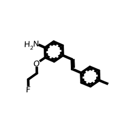 Cc1ccc(/C=C/c2ccc(N)c(OCCF)c2)cc1